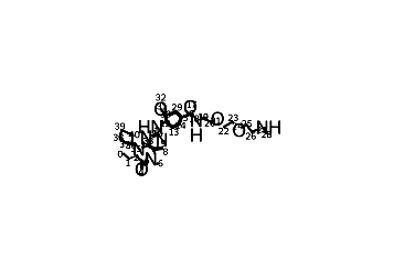 CC[C@@H]1C(=O)N(C)c2cnc(Nc3ccc(C(=O)NCCOCCOCCNC)cc3OC)nc2N1C1CCCC1